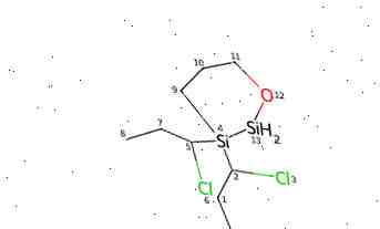 CCC(Cl)[Si]1(C(Cl)CC)CCCO[SiH2]1